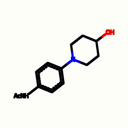 CC(=O)Nc1ccc(N2CCC(O)CC2)cc1